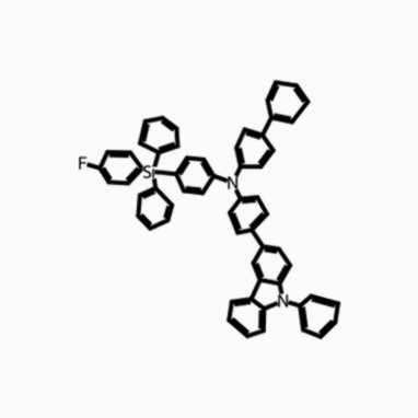 Fc1ccc([Si](c2ccccc2)(c2ccccc2)c2ccc(N(c3ccc(-c4ccccc4)cc3)c3ccc(-c4ccc5c(c4)c4ccccc4n5-c4ccccc4)cc3)cc2)cc1